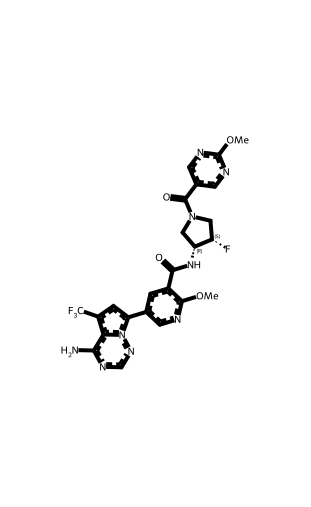 COc1ncc(C(=O)N2C[C@H](F)[C@H](NC(=O)c3cc(-c4cc(C(F)(F)F)c5c(N)ncnn45)cnc3OC)C2)cn1